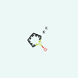 [K].[K].[O-][s+]1cccc1